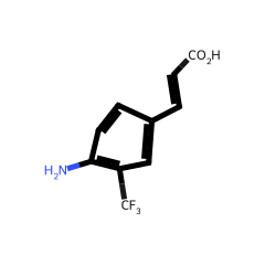 Nc1ccc(/C=C/C(=O)O)cc1C(F)(F)F